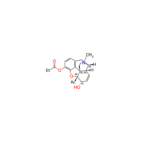 CCC(=O)Oc1ccc2c3c1O[C@@]1(C(C)=O)[C@@H](O)C=C[C@H]4[C@@H](C2)N(C)CC[C@@]341